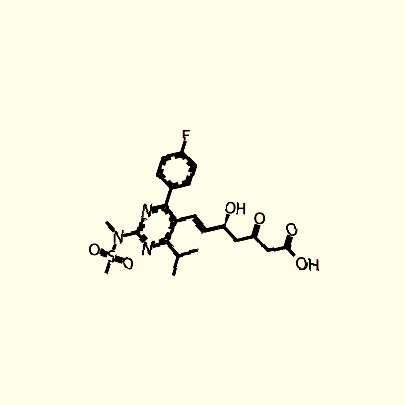 CC(C)c1nc(N(C)S(C)(=O)=O)nc(-c2ccc(F)cc2)c1/C=C/[C@@H](O)CC(=O)CC(=O)O